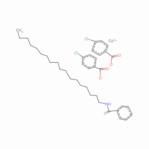 CCCCCCCCCCCCCCCCCCNC(=S)c1ccccc1.O=C([O-])c1ccc(Cl)cc1.O=C([O-])c1ccc(Cl)cc1.[Cu+2]